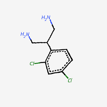 NCC(CN)c1ccc(Cl)cc1Cl